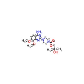 COc1ccc2c(N)nc(N3CCN(C(=O)OCC(C)(C)O)CC3)nc2c1OC